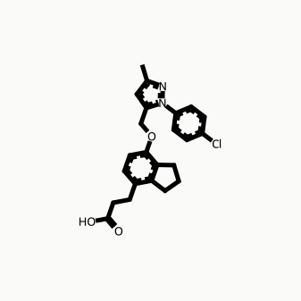 Cc1cc(COc2ccc(CCC(=O)O)c3c2CCC3)n(-c2ccc(Cl)cc2)n1